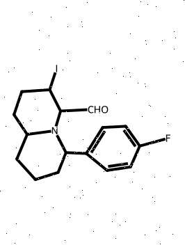 O=CC1C(I)CCC2CCCC(c3ccc(F)cc3)N21